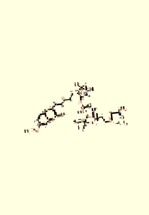 CC[C@H](CCNC(=O)[C@@H](NC(=O)OC1C[C@H]2C[C@H]2[C@H]1CCCCCc1nc2ccc(OC)cc2nc1O)C(C)(C)C)CC(C)=O